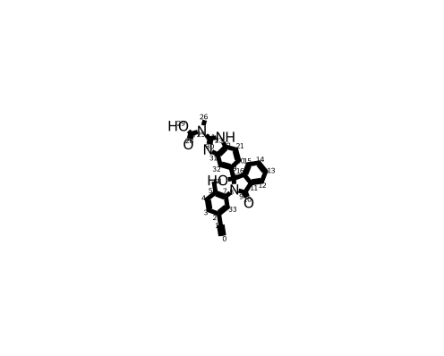 C#Cc1ccc(C)c(N2C(=O)c3ccccc3C2(O)c2ccc3[nH]c(N(C)C(=O)O)nc3c2)c1